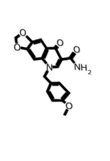 COc1ccc(Cn2cc(C(N)=O)c(=O)c3cc4c(cc32)OCO4)cc1